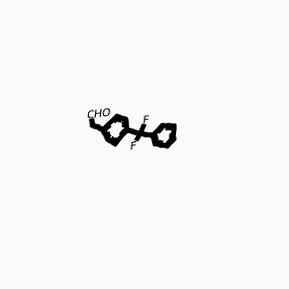 O=CCc1ccc(C(F)(F)c2ccccc2)cc1